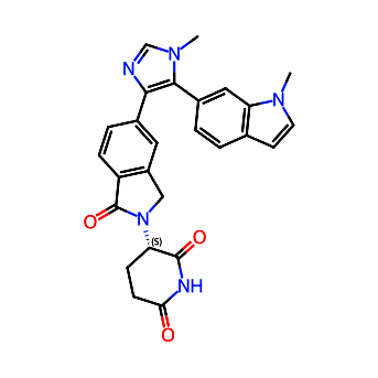 Cn1cnc(-c2ccc3c(c2)CN([C@H]2CCC(=O)NC2=O)C3=O)c1-c1ccc2ccn(C)c2c1